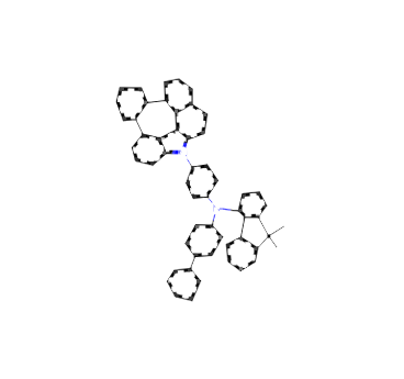 CC1(C)c2ccccc2-c2c(N(c3ccc(-c4ccccc4)cc3)c3ccc(-n4c5cccc6c5c5c7c(cccc7ccc54)-c4ccccc4-6)cc3)cccc21